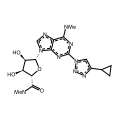 CNC(=O)[C@H]1O[C@@H](n2cnc3c(NC)nc(-n4cc(C5CC5)nn4)nc32)[C@H](O)[C@@H]1O